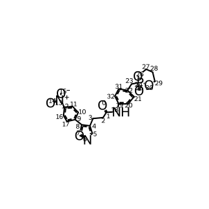 O=C(CCc1cnoc1-c1ccc([N+](=O)[O-])cc1)Nc1ccc(CP2(=O)OCCCO2)cc1